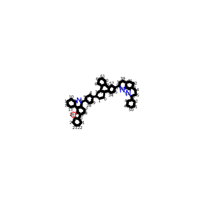 C1=CC(c2ccc(-c3nc4ccccc4c4c3ccc3c5ccccc5oc34)cc2)Cc2c1c1ccc(-c3ccc4ccc5ccc(-c6ccccc6)nc5c4n3)cc1c1ccccc21